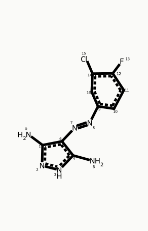 Nc1n[nH]c(N)c1N=Nc1ccc(F)c(Cl)c1